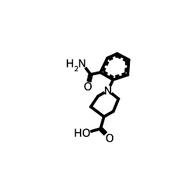 NC(=O)c1ccccc1N1CCC(C(=O)O)CC1